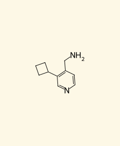 NCc1ccncc1C1CCC1